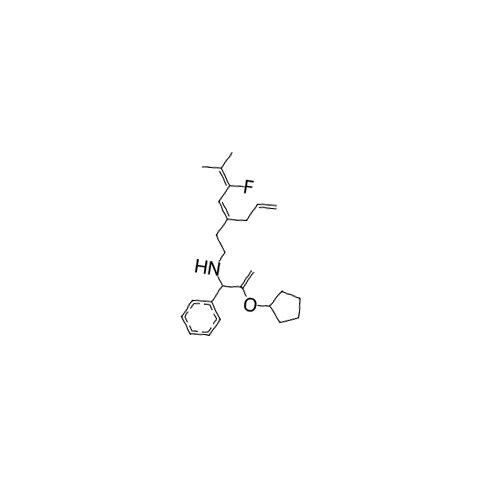 C=CC/C(=C\C(F)=C(C)C)CCNC(C(=C)OC1CCCC1)c1ccccc1